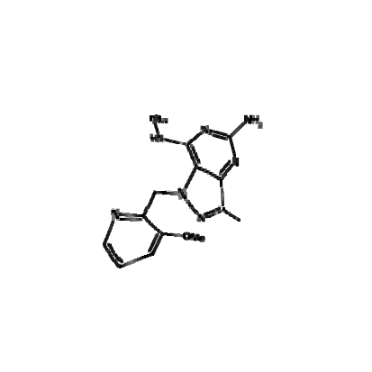 CCCCNc1nc(N)nc2c(C)nn(Cc3ncccc3OC)c12